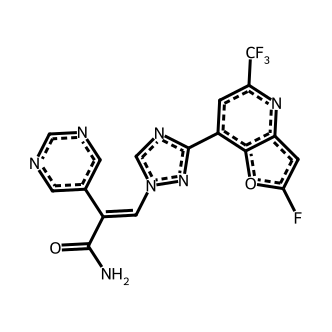 NC(=O)/C(=C/n1cnc(-c2cc(C(F)(F)F)nc3cc(F)oc23)n1)c1cncnc1